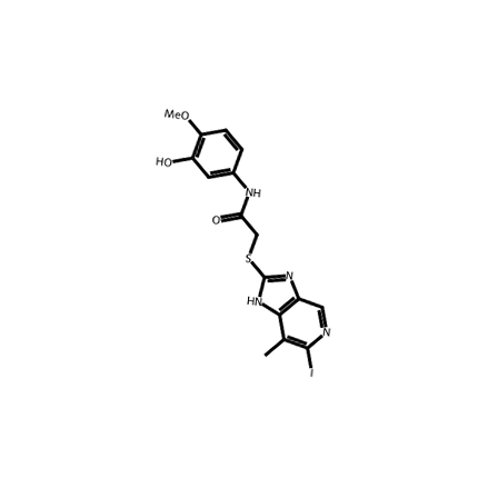 COc1ccc(NC(=O)CSc2nc3cnc(I)c(C)c3[nH]2)cc1O